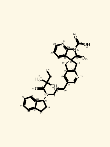 CC(C)(CI)C(=O)N(CC=Cc1cnc2c(c1)C[C@@]1(C2)C(=O)N(C(=O)O)c2ncccc21)[C@@H]1CCc2ccccc21